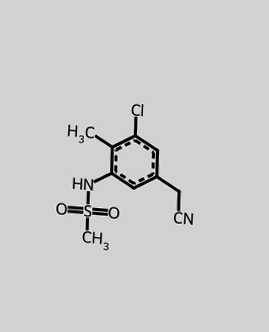 Cc1c(Cl)cc(CC#N)cc1NS(C)(=O)=O